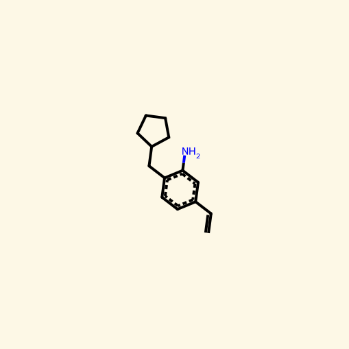 C=Cc1ccc(CC2CCCC2)c(N)c1